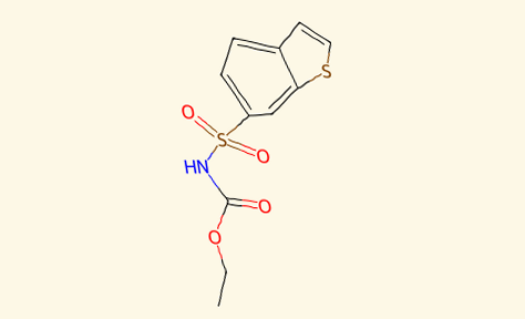 CCOC(=O)NS(=O)(=O)c1ccc2ccsc2c1